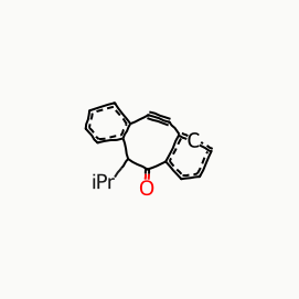 CC(C)C1C(=O)c2ccccc2C#Cc2ccccc21